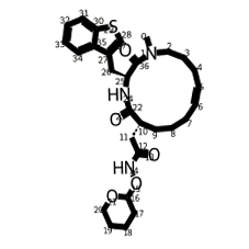 CN1CCCC=CCCC[C@H](CC(=O)NOC2CCCCO2)C(=O)N[C@@H](Cc2csc3ccccc23)C1=O